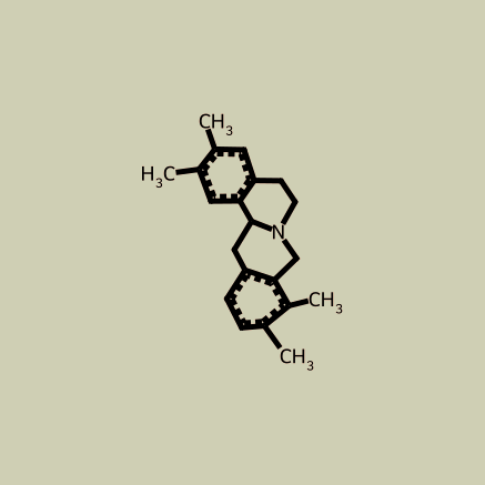 Cc1cc2c(cc1C)C1Cc3ccc(C)c(C)c3CN1CC2